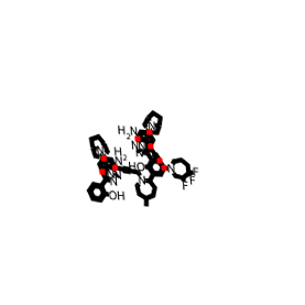 CC1CCC(c2cccc(-c3cc(N4CC5CCC(C4)N5c4ccnc(C#CCN5CCCC(F)(F)C(F)C5)c4)c(N)nn3)c2O)N(CC#Cc2cc(N3C4CCC3CN(c3cc(-c5ccccc5O)nnc3N)C4)ccn2)CC1